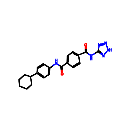 O=C(Nc1ccc(C2CCCCC2)cc1)c1ccc(C(=O)Nc2nn[nH]n2)cc1